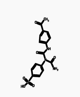 CC(=O)c1ccc(NC(=O)N(C(N)=O)c2ccc(S(=O)(=O)O)cc2)cc1